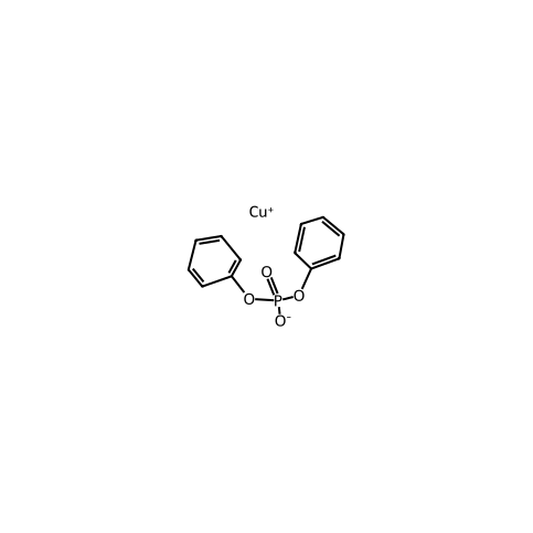 O=P([O-])(Oc1ccccc1)Oc1ccccc1.[Cu+]